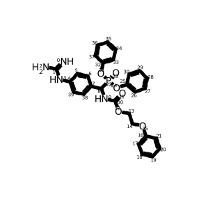 N=C(N)Nc1ccc(C(NC(=O)OCCOc2ccccc2)P(=O)(Oc2ccccc2)Oc2ccccc2)cc1